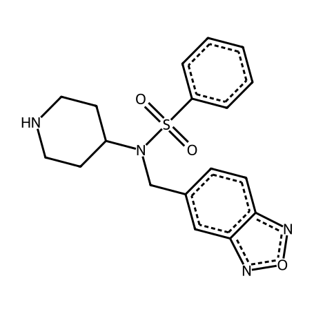 O=S(=O)(c1ccccc1)N(Cc1ccc2nonc2c1)C1CCNCC1